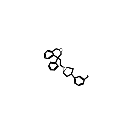 Fc1cccc(C2CCN(CCC3(c4ccccc4)COCc4ccccc43)CC2)c1